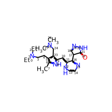 CCN(CC)CCc1c(C)[nH]c(C=C2NC=CN=C2C2C=NNC2=O)c1CN(C)C